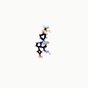 CCC/C=C(/CN)c1c(C2CC(O)C2)ccnc1Nc1ccc(OC(F)(F)P)cc1